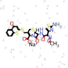 CO/N=C(\C(=O)N[C@@H]1C(=O)N2C(C(=O)[O-])=C(CSc3cc(=O)c4ccccc4s3)CS[C@H]12)c1csc(N)n1.[Na+]